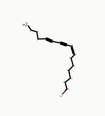 CCCCC#CC#C/C=C\CCCCCCI